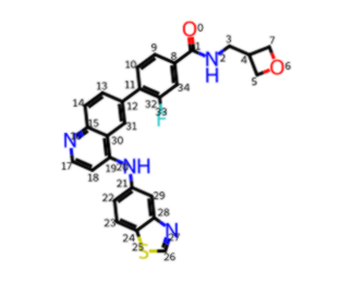 O=C(NCC1COC1)c1ccc(-c2ccc3nccc(Nc4ccc5scnc5c4)c3c2)c(F)c1